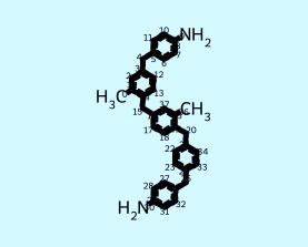 Cc1cc(Cc2ccc(N)cc2)ccc1Cc1ccc(Cc2ccc(Cc3ccc(N)cc3)cc2)c(C)c1